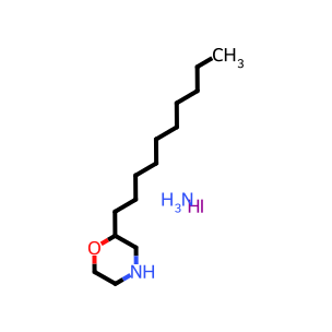 CCCCCCCCCCC1CNCCO1.I.N